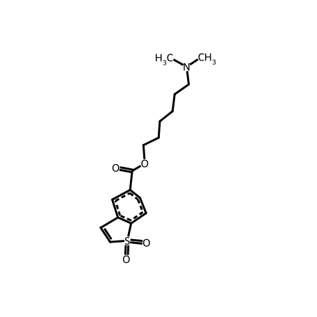 CN(C)CCCCCCOC(=O)c1ccc2c(c1)C=CS2(=O)=O